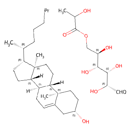 CC(C)CCC[C@@H](C)[C@H]1CC[C@H]2[C@@H]3CC=C4C[C@@H](O)CC[C@]4(C)[C@H]3CC[C@]12C.CC(O)C(=O)OC[C@@H](O)[C@@H](O)[C@H](O)[C@@H](O)C=O